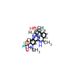 CO[C@]1(C(F)(F)F)C(=O)N(C)c2cc3c(NC(C)c4cccc(C(F)(F)C(C)(C)O)c4F)nc(C)nc3cc21